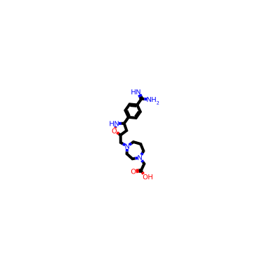 N=C(N)c1ccc(C2CC(CN3CCCN(CC(=O)O)CC3)ON2)cc1